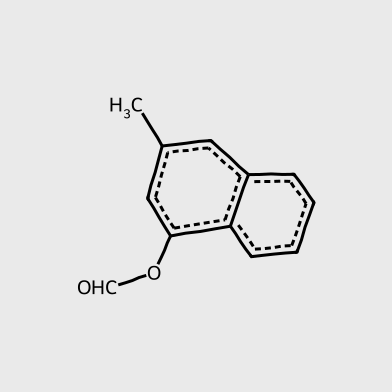 Cc1cc(OC=O)c2ccccc2c1